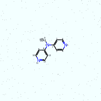 CC(C)(C)N(c1ccncc1)c1ccncc1